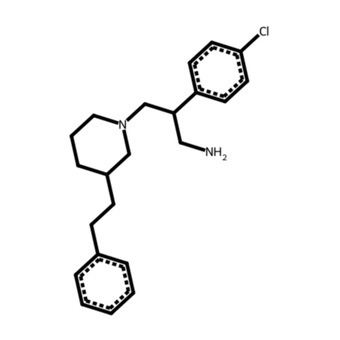 NCC(CN1CCCC(CCc2ccccc2)C1)c1ccc(Cl)cc1